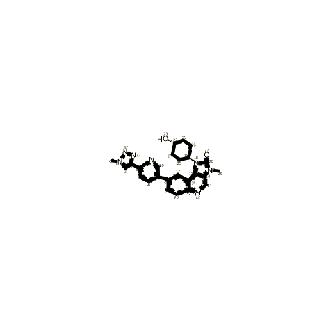 Cn1cc(-c2ccc(-c3ccc4ncc5c(c4c3)n([C@H]3CC[C@@H](O)CC3)c(=O)n5C)cn2)nn1